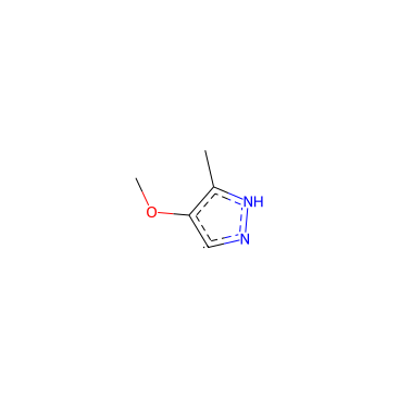 COc1[c]n[nH]c1C